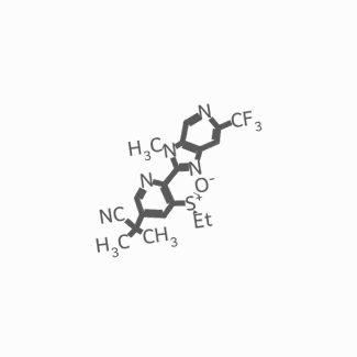 CC[S@+]([O-])c1cc(C(C)(C)C#N)cnc1-c1nc2cc(C(F)(F)F)ncc2n1C